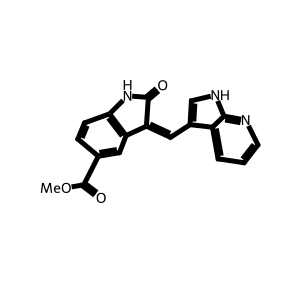 COC(=O)c1ccc2c(c1)C(=Cc1c[nH]c3ncccc13)C(=O)N2